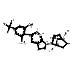 Cc1cc(C(F)(F)F)cc(O)c1-c1cc2c(nn1)N([C@H]1CC[C@H]3CC[C@@H]1N3C)CC2